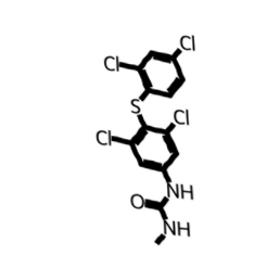 CNC(=O)Nc1cc(Cl)c(Sc2ccc(Cl)cc2Cl)c(Cl)c1